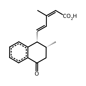 CC(=C/C(=O)O)/C=C/[C@H]1c2ccccc2C(=O)C[C@H]1C